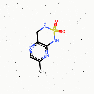 Cc1cnc2c(n1)NS(=O)(=O)NC2